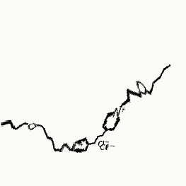 CCCCCOCCCC[n+]1ccc(CCCc2cc[n+](CCCCOCCCC)cc2)cc1.[Cl-].[Cl-]